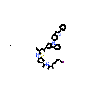 C=C(/N=C(\C)C(C)CC/C=C\CI)c1ccc2nc(C(/C=C(\C)c3ccc4c(c3)C3C=CC=CC3N4c3ccc4c(c3)N=C(c3ccccc3)C4)=C/C)sc2c1